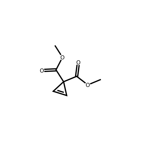 COC(=O)C1(C(=O)OC)C=C1